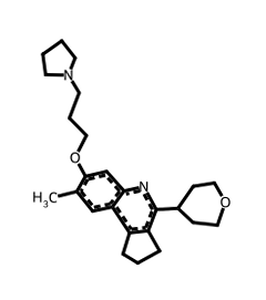 Cc1cc2c3c(c(C4CCOCC4)nc2cc1OCCCN1CCCC1)CCC3